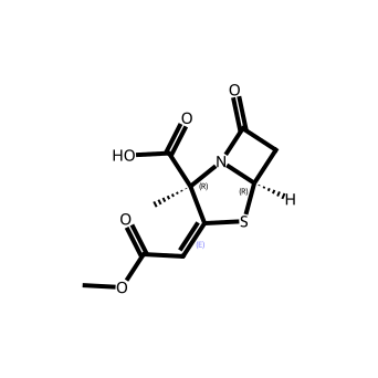 COC(=O)/C=C1/S[C@@H]2CC(=O)N2[C@]1(C)C(=O)O